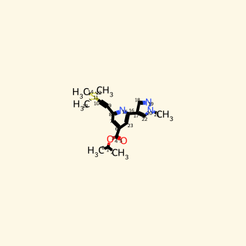 CC(C)OC(=O)c1cc(C#CS(C)(C)C)nc(-c2cnn(C)c2)c1